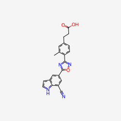 Cc1cc(CCC(=O)O)ccc1-c1noc(-c2cc(C#N)c3[nH]ccc3c2)n1